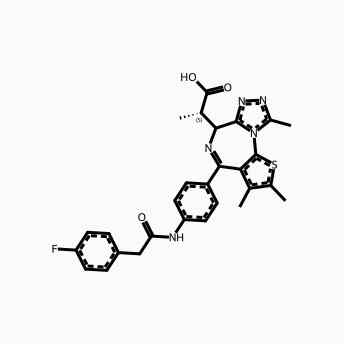 Cc1sc2c(c1C)C(c1ccc(NC(=O)Cc3ccc(F)cc3)cc1)=NC([C@H](C)C(=O)O)c1nnc(C)n1-2